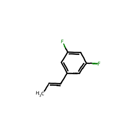 C/C=C/c1cc(F)cc(F)c1